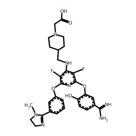 CN1CCN=C1c1cccc(Oc2nc(Oc3cc(C(=N)N)ccc3O)c(F)c(NCC3CCN(CC(=O)O)CC3)c2F)c1